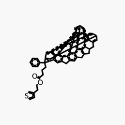 O=C(CCCC1(c2ccccc2)C2c3cc4c5c6c(cc7c8c9c%10c%11c%12c%13c%14c%15c(c%16c3c5c3c%16c%14c%12c9c3c68)C21CC%15C=C%13CC%11CC=%10C7)C4)OCCc1ccsc1